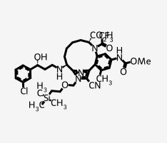 COC(=O)Nc1cc(C)c2c(c1)N(C(=O)C(F)(F)F)[C@@H](C(=O)O)CCCC[C@H](NCC[C@@H](O)c1cccc(Cl)c1)c1nc-2c(C#N)n1COCC[Si](C)(C)C